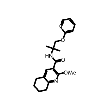 COc1nc2c(cc1C(=O)NC(C)(C)COc1ccccn1)CCCC2